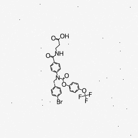 O=C(O)CCNC(=O)c1ccc(N(Cc2ccc(Br)cc2)C(=O)Oc2ccc(OC(F)(F)F)cc2)cc1